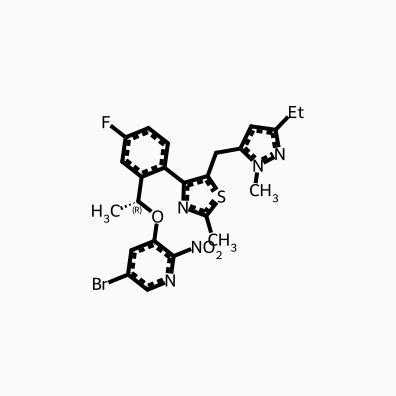 CCc1cc(Cc2sc(C)nc2-c2ccc(F)cc2[C@@H](C)Oc2cc(Br)cnc2[N+](=O)[O-])n(C)n1